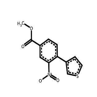 COC(=O)c1ccc(-c2ccsc2)c([N+](=O)[O-])c1